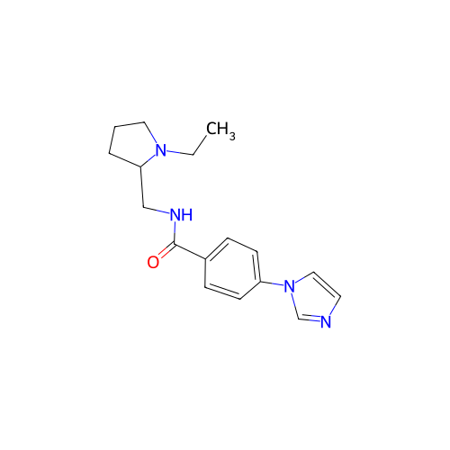 CCN1CCCC1CNC(=O)c1ccc(-n2ccnc2)cc1